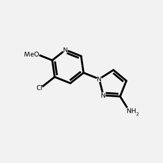 COc1ncc(-n2ccc(N)n2)cc1Cl